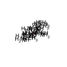 CC(C)C[C@H](C)C(=O)N[C@@H](Cc1c[nH]c2ccccc12)C(=O)N[C@@H](CCCNC(=N)N)C(=O)N[C@@H](CO)C(=O)N[C@H](CCCNC(=N)N)C(=O)N[C@H](CCCNC(=N)N)C(=O)N[C@@H](C)CCCNC(=N)N